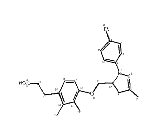 CCc1ccc(N2N=C(C)CC2COc2ccc(CCC(=O)O)c(C)c2C)cc1